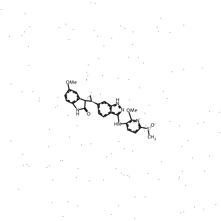 COc1ccc2c(c1)[C@]1(C[C@H]1c1ccc3c(Nc4ccc([S+](C)[O-])nc4OC)n[nH]c3c1)C(=O)N2